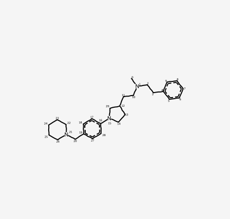 CN(CCc1ccccc1)CCC1CCN(c2ccc(CN3CCCCC3)cc2)C1